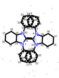 c1ccc(N2C(=C3N(c4ccccc4)C4CCCCC4N3c3ccccc3)N(c3ccccc3)C3CCCCC32)cc1